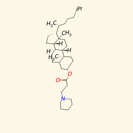 CC(C)CCC[C@@H](C)[C@H]1CC[C@H]2[C@@H]3CCC4C[C@@H](OC(=O)CCN5CCCCC5)CC[C@]4(C)[C@H]3CCC12C